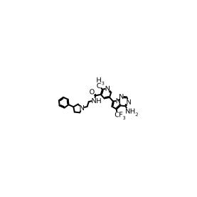 Cc1ncc(-c2cc(C(F)(F)F)c3c(N)ncnn23)cc1C(=O)NCCN1CCC(c2ccccc2)C1